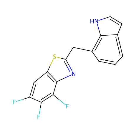 Fc1cc2sc(Cc3cccc4cc[nH]c34)nc2c(F)c1F